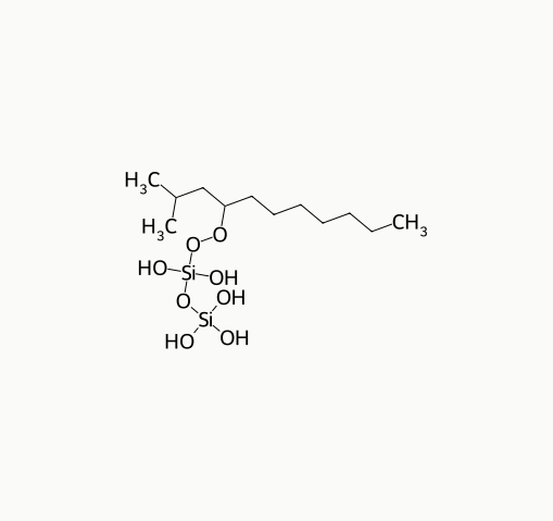 CCCCCCCC(CC(C)C)OO[Si](O)(O)O[Si](O)(O)O